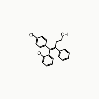 [O]c1ccccc1/C(=C(/CCO)c1ccccc1)c1ccc(Cl)cc1